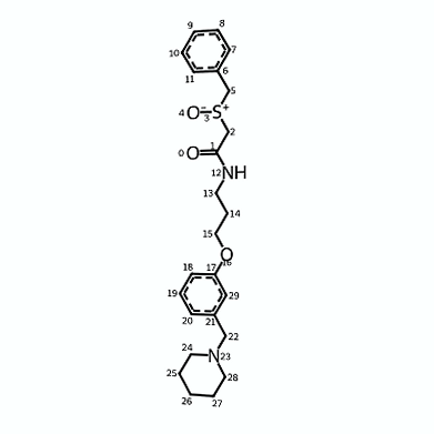 O=C(C[S+]([O-])Cc1ccccc1)NCCCOc1cccc(CN2CCCCC2)c1